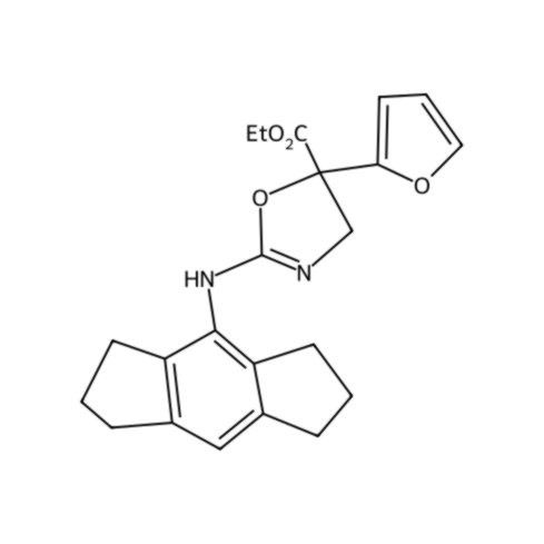 CCOC(=O)C1(c2ccco2)CN=C(Nc2c3c(cc4c2CCC4)CCC3)O1